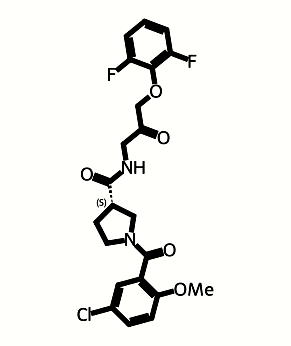 COc1ccc(Cl)cc1C(=O)N1CC[C@H](C(=O)NCC(=O)COc2c(F)cccc2F)C1